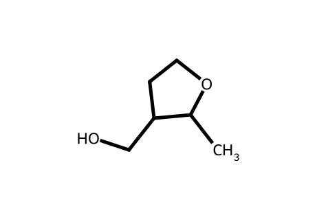 CC1OCCC1CO